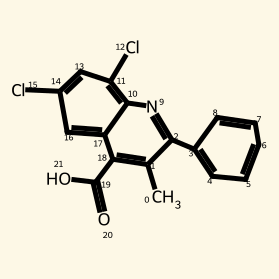 Cc1c(-c2ccccc2)nc2c(Cl)cc(Cl)cc2c1C(=O)O